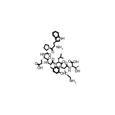 CC(C)C[C@H](NC(=O)[C@H](Cc1ccc(O)cc1)NC(=O)[C@H](CCC(=O)O)NC(=O)[C@@H]1CCCN1C(=O)[C@@H](N)Cc1c[nH]c2ccccc12)C(=O)N[C@@H](CCCCN)C(=O)N[C@H](C(=O)O)[C@@H](C)O